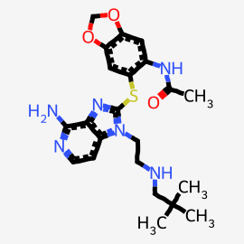 CC(=O)Nc1cc2c(cc1Sc1nc3c(N)nccc3n1CCNCC(C)(C)C)OCO2